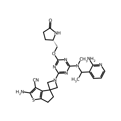 CC(c1cccnc1N)N(C)c1nc(OC[C@@H]2CCC(=O)N2)nc(N2CC3(CCc4sc(N)c(C#N)c43)C2)n1